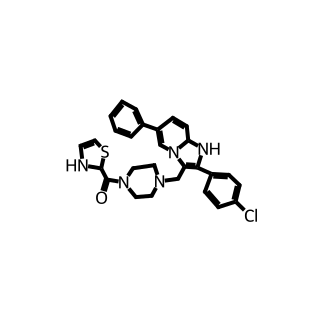 O=C(C1NC=CS1)N1CCN(CC2=C(c3ccc(Cl)cc3)NC3C=CC(c4ccccc4)=CN23)CC1